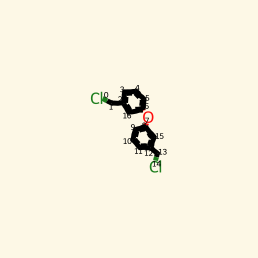 ClCc1cccc(Oc2cccc(CCl)c2)c1